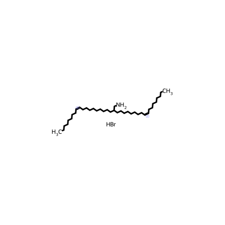 Br.CCCCCCCC/C=C\CCCCCCCCCC(CN)CCCCCCCC/C=C\CCCCCCCC